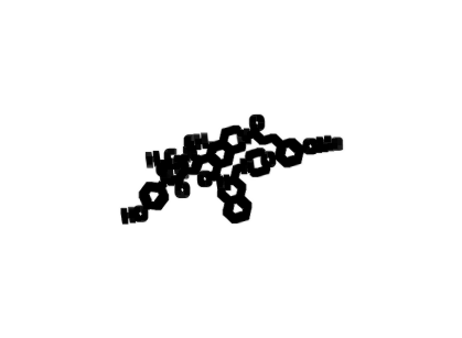 COc1cccc(CCC(=O)N2CCc3cc(-c4cc(C(=O)N(C)c5ccc(O)cc5)c(C)n4C)c(C(=O)N4Cc5ccccc5CC4CN4CCOCC4)cc3C2)c1